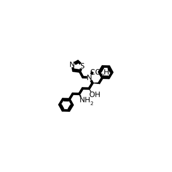 N[C@@H](Cc1ccccc1)C[C@@H](O)[C@H](Cc1ccccc1)N(Cc1cncs1)C(=O)O